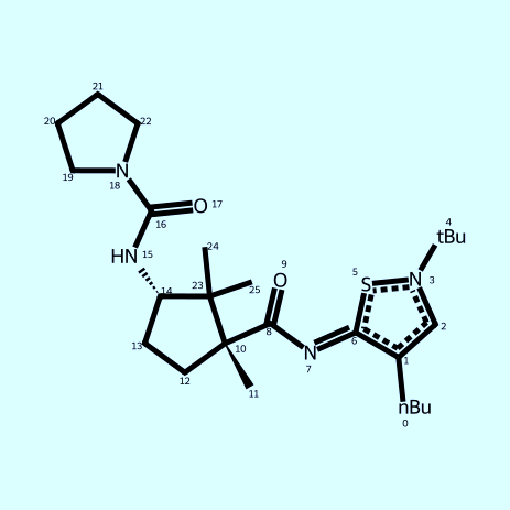 CCCCc1cn(C(C)(C)C)s/c1=N\C(=O)[C@]1(C)CC[C@H](NC(=O)N2CCCC2)C1(C)C